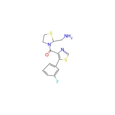 NCC1SCCN1C(=O)c1ncsc1-c1cccc(F)c1